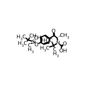 C[C@@H](C(=O)c1ccc(O[Si](C)(C)C(C)(C)C)cc1)N(C(=O)O)C(C)(C)C